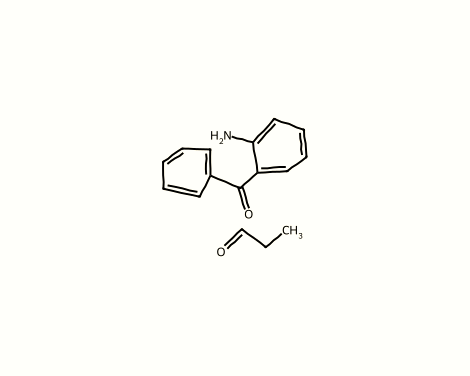 CCC=O.Nc1ccccc1C(=O)c1ccccc1